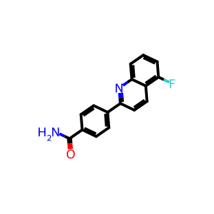 NC(=O)c1ccc(-c2ccc3c(F)cccc3n2)cc1